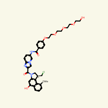 COc1cccc2c(O)cc3c(c12)[C@H](CCl)CN3C(=O)c1cn2cc(NC(=O)c3ccc(OCCOCCOCCOCCO)cc3)ccc2n1